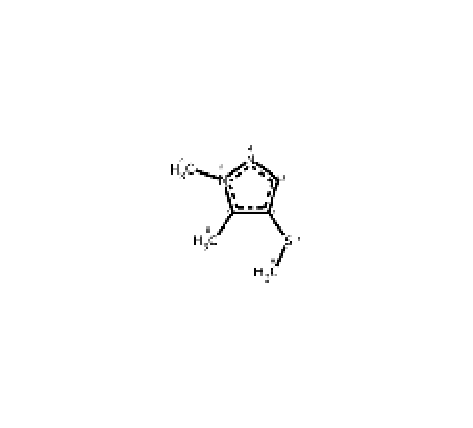 CSc1[c]nn(C)c1C